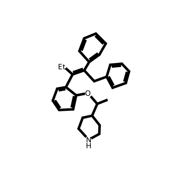 CCC(=C(Cc1ccccc1)c1ccccc1)c1ccccc1OC(C)C1CCNCC1